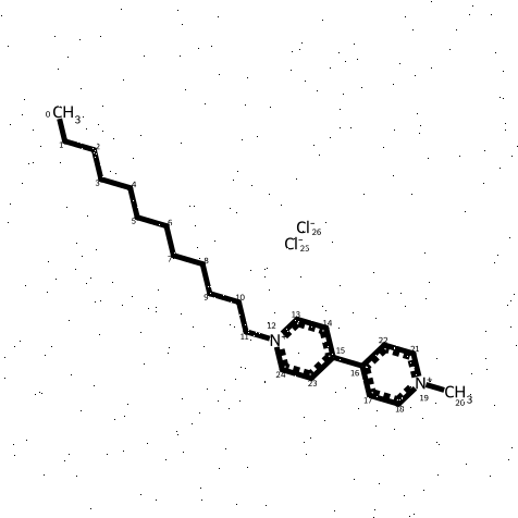 CCCCCCCCCCCC[n+]1ccc(-c2cc[n+](C)cc2)cc1.[Cl-].[Cl-]